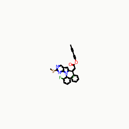 CC#CC#COC(=O)/C=C(/c1ccccc1)c1cc2cnc(SC)nc2n1-c1c(F)cccc1F